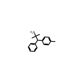 [CH2]C(C)(N)C(c1ccccc1)c1ccc(C)cc1